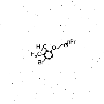 CCCOCCOc1ccc(Br)c(C)c1C